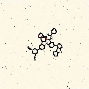 N#Cc1cc(C#N)cc(-c2ccc3c(c2)c2ccccc2n3-c2ccc(-c3cccc4oc5ccccc5c34)cc2-c2nc(-c3ccccc3)nc(-c3ccccc3)n2)c1